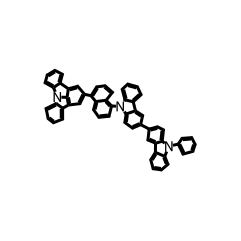 c1ccc(-n2c3ccccc3c3cc(-c4ccc5c(c4)c4ccccc4n5-c4cccc5c(-c6cc7c8ccccc8n8c9ccccc9c(c6)c78)cccc45)ccc32)cc1